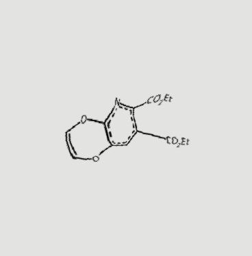 CCOC(=O)c1cc2c(nc1C(=O)OCC)OC=CO2